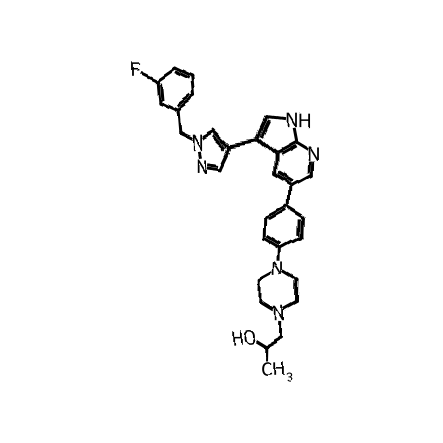 CC(O)CN1CCN(c2ccc(-c3cnc4[nH]cc(-c5cnn(Cc6cccc(F)c6)c5)c4c3)cc2)CC1